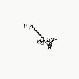 CC1CO1.CCCCCCCCC=CCCCCCCCC1=NCCN1C(CO)C1CO1